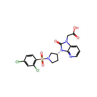 O=C(O)Cn1c(=O)n([C@@H]2CCN(S(=O)(=O)c3ccc(Cl)cc3Cl)C2)c2ncccc21